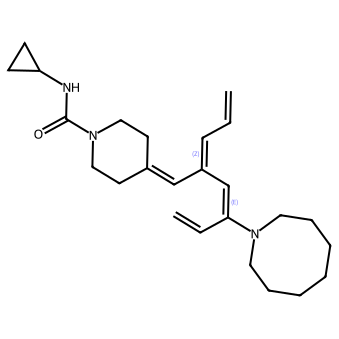 C=C/C=C(C=C1CCN(C(=O)NC2CC2)CC1)\C=C(/C=C)N1CCCCCCC1